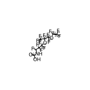 O=C(O)NC(F)C(F)(F)C(F)(F)OC(F)(C(F)(F)F)C(F)(F)OC(F)=C(F)F